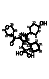 O=C(c1nn(C2CCC(O)CC2)c2c1CS(O)(O)c1ccccc1-2)N1CCOCC1